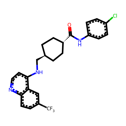 O=C(Nc1ccc(Cl)cc1)[C@H]1CC[C@H](CNc2ccnc3ccc(C(F)(F)F)cc23)CC1